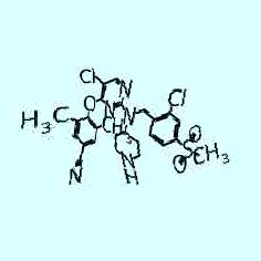 Cc1cc(C#N)cc(C)c1Oc1nc(N(Cc2ccc(S(C)(=O)=O)cc2Cl)C2CCNCC2)ncc1Cl